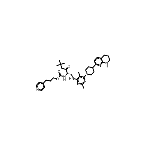 Cc1nc(NC[C@H](NC(=O)OCCCc2ccncc2)C(=O)CC(C)(C)C)c(C)c(N2CCC(c3ccc4c(n3)NCCC4)CC2)n1